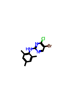 Cc1cc(C)c(Nc2ncc(Br)c(Cl)n2)c(C)c1